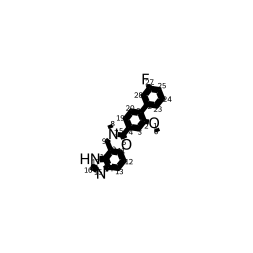 COc1cc(C(=O)N(C)Cc2cccc3nc[nH]c23)ccc1-c1cccc(F)c1